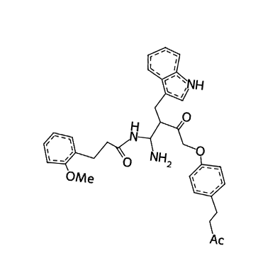 COc1ccccc1CCC(=O)NC(N)C(Cc1c[nH]c2ccccc12)C(=O)COc1ccc(CCC(C)=O)cc1